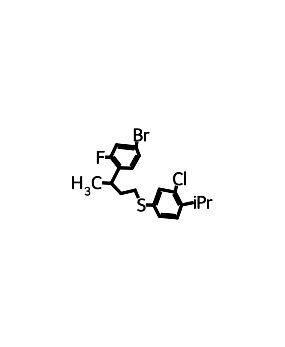 CC(C)c1ccc(SCCC(C)c2ccc(Br)cc2F)cc1Cl